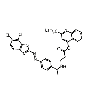 CCOC(=O)c1cc(OC(=O)CCNC(C)c2ccc(N=Nc3nc4ccc(Cl)c(Cl)c4s3)cc2)c2ccccc2n1